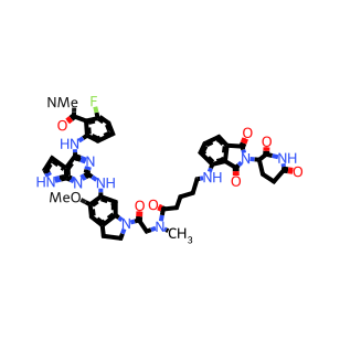 CNC(=O)c1c(F)cccc1Nc1nc(Nc2cc3c(cc2OC)CCN3C(=O)CN(C)C(=O)CCCCNc2cccc3c2C(=O)N(C2CCC(=O)NC2=O)C3=O)nc2[nH]ccc12